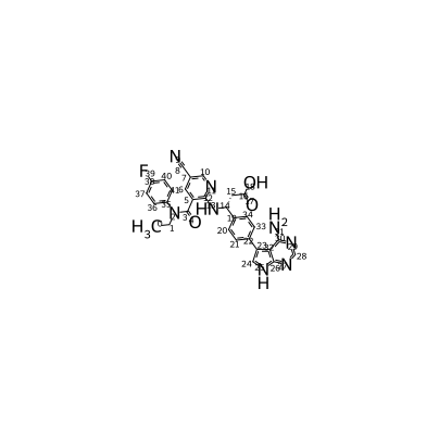 CCN(C(=O)c1cc(C#N)cnc1N[C@H](CC(=O)O)c1ccc(-c2c[nH]c3ncnc(N)c23)cc1)c1ccc(F)cc1